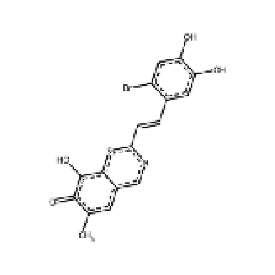 Cc1cc2cnc(/C=C/c3cc(O)c(O)cc3Br)sc-2c(O)c1=O